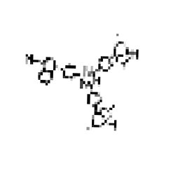 C[C@@H]1C[C@@H]2C[C@H](C)CC(c3ccc(-c4nc(-c5ccc(-c6ccc(C#N)c7ccccc67)cc5)nc(-c5ccc(C67C[C@H](C)C[C@H](C[C@H](C)C6)C7)cc5)n4)cc3)(C1)C2